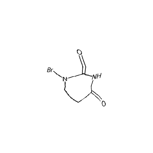 O=C1CCN(Br)C(=O)N1